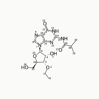 CCO[C@H]1[C@@H](O)[C@H](n2cnc3c(=O)[nH]c(NC(=O)C(C)C)nc32)O[C@@H]1CO